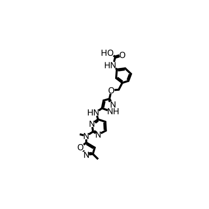 Cc1cc(N(C)c2nccc(Nc3cc(OCc4cccc(NC(=O)O)c4)n[nH]3)n2)on1